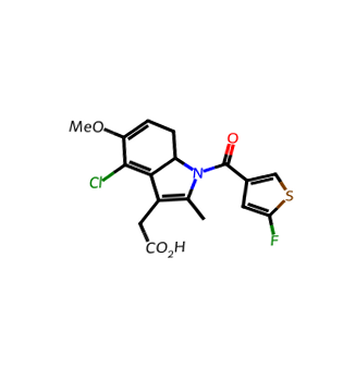 COC1=CCC2C(=C1Cl)C(CC(=O)O)=C(C)N2C(=O)c1csc(F)c1